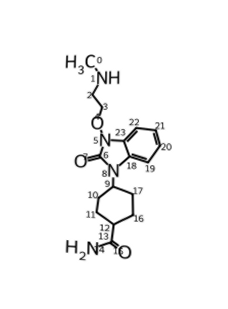 CNCCOn1c(=O)n(C2CCC(C(N)=O)CC2)c2ccccc21